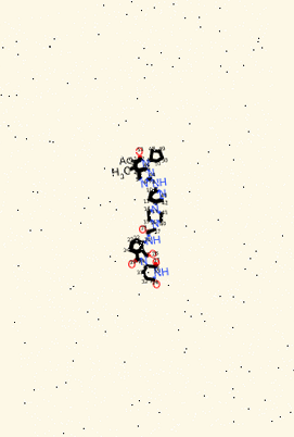 CC(=O)c1c(C)c2cnc(Nc3ccc(N4CCN(CC(=O)Nc5cccc6c5C(=O)N(C5CCC(=O)NC5=O)C6=O)CC4)cn3)nc2n(C2CCCC2)c1=O